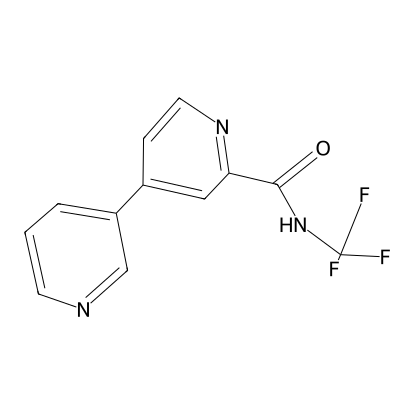 O=C(NC(F)(F)F)c1cc(-c2cccnc2)ccn1